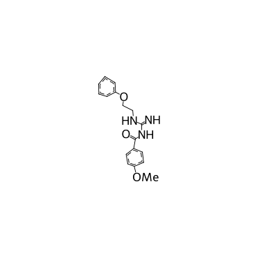 COc1ccc(C(=O)NC(=N)NCCOc2ccccc2)cc1